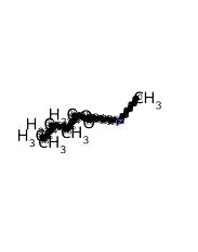 CCCCCCCC/C=C\CCCCCCCC(=O)OCCC(C)CCCC(C)CCCC(C)CCCC(C)C